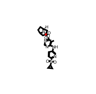 Cc1c(Nc2ccc(S(=O)(=O)C3CC3)nc2)ncnc1OC1CC2CC[C@@H](C1)N2C(=O)OC(C)C